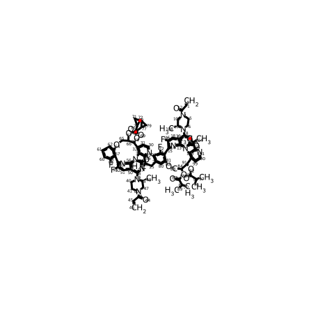 C=CC(=O)N1CCN(c2nc(=O)n3c4nc(c(F)cc24)-c2c(F)cc(CC(C)c4nccc5c4-n4c(=O)nc(N6CCN(C(=O)C=C)C[C@@H]6C)c6cc(F)c(nc64)-c4c(F)cccc4OCC(OC(=O)C4CC4)C5OC(=O)C4CC4)cc2OCC(OC(=O)C(C)C)C(OC(=O)C(C)C)c2ccnc(C(C)C)c2-3)[C@@H](C)C1